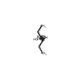 CCCCCCCC/C=C\CCCCCCCC(=O)OC(CO)C(CC(C)(C)N)OC(=O)CCCCCCC/C=C\CCCCCCCC.Cl